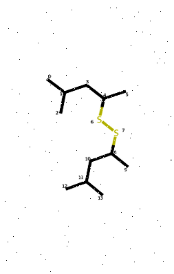 CC(C)CC(C)SSC(C)CC(C)C